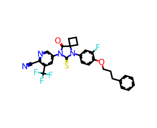 N#Cc1ncc(N2C(=O)C3(CCC3)N(c3ccc(OCCCc4ccccc4)c(F)c3)C2=S)cc1C(F)(F)F